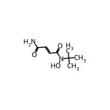 CC(C)(C)N(O)C(=O)C=CC(N)=O